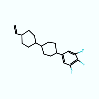 C=CC1CCC(C2CCC(c3cc(F)c(F)c(F)c3)CC2)CC1